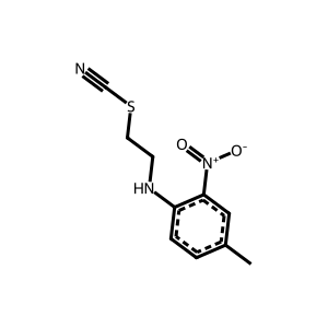 Cc1ccc(NCCSC#N)c([N+](=O)[O-])c1